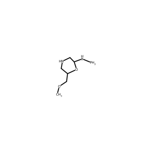 COCC1CNCC(BP)O1